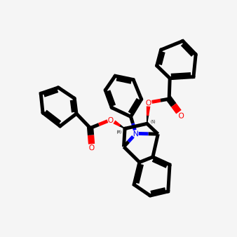 O=C(O[C@@H]1C2c3ccccc3C([C@@H]1OC(=O)c1ccccc1)N2c1ccccc1)c1ccccc1